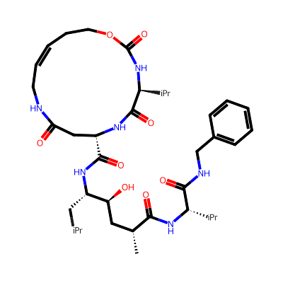 CC(C)C[C@H](NC(=O)[C@@H]1CC(=O)NC/C=C\CCOC(=O)N[C@@H](C(C)C)C(=O)N1)[C@@H](O)C[C@@H](C)C(=O)N[C@H](C(=O)NCc1ccccc1)C(C)C